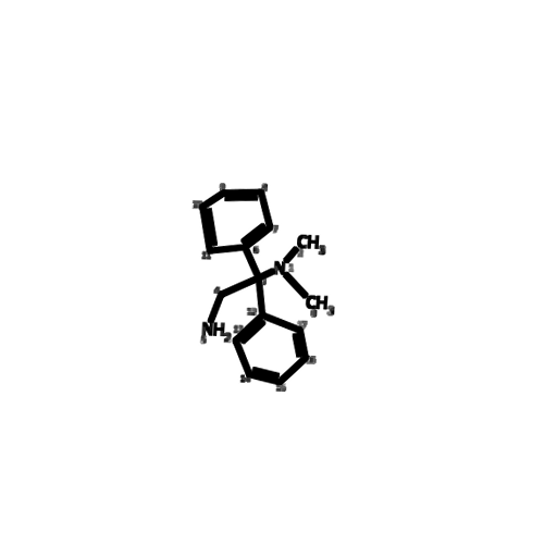 CN(C)C(CN)(c1ccccc1)c1ccccc1